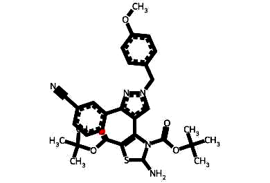 COc1ccc(Cn2cc(C3=C(C(=O)OC(C)(C)C)SC(N)N3C(=O)OC(C)(C)C)c(-c3cccc(C#N)c3)n2)cc1